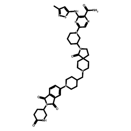 Cc1cc(Nc2nc(N3CCCC(N4CCC5(CCN(CC6CCN(c7ccc8c(c7)C(=O)N(C7CCC(=O)NC7)C8=O)CC6)CC5)C4=O)C3)cnc2C(N)=O)sn1